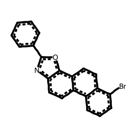 Brc1cccc2c1ccc1c2ccc2nc(-c3ccccc3)oc21